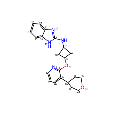 c1cnc(OC2CC(Nc3nc4ccccc4[nH]3)C2)c(C2CCOCC2)c1